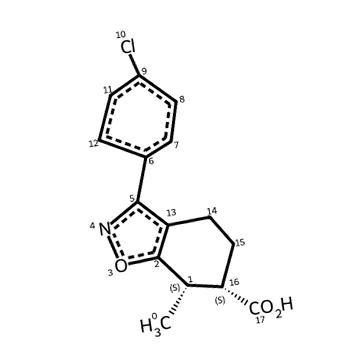 C[C@@H]1c2onc(-c3ccc(Cl)cc3)c2CC[C@@H]1C(=O)O